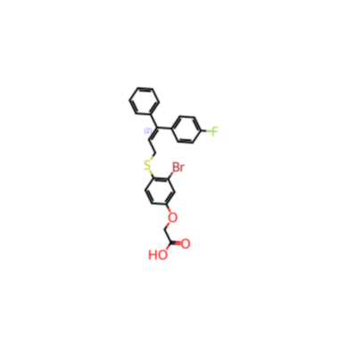 O=C(O)COc1ccc(SC/C=C(/c2ccccc2)c2ccc(F)cc2)c(Br)c1